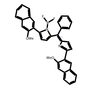 COc1cc2ccccc2cc1C1=N/C(=C(/c2ccccc2)c2ccc(-c3cc4ccccc4cc3OC)n2B(F)F)C=C1